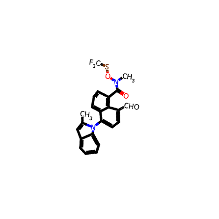 Cc1cc2ccccc2n1-c1ccc(C=O)c2c(C(=O)N(C)OSC(F)(F)F)cccc12